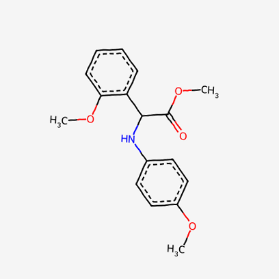 COC(=O)C(Nc1ccc(OC)cc1)c1ccccc1OC